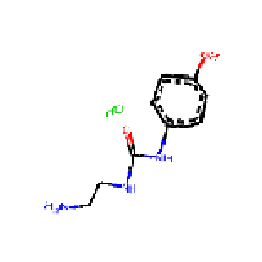 Cl.NCCNC(=O)Nc1ccc(O)cc1